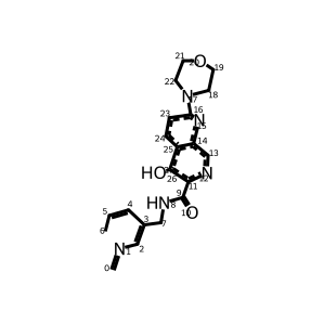 C=N/C=C(\C=C/C)CNC(=O)c1ncc2nc(N3CCOCC3)ccc2c1O